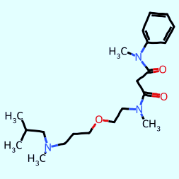 CC(C)CN(C)CCCOCCN(C)C(=O)CC(=O)N(C)c1ccccc1